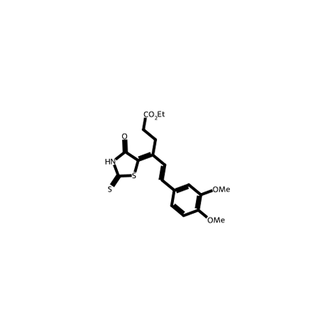 CCOC(=O)CCC(C=Cc1ccc(OC)c(OC)c1)=C1SC(=S)NC1=O